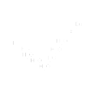 O.O.O.O.O.O.[Eu+3].[F-].[F-].[F-]